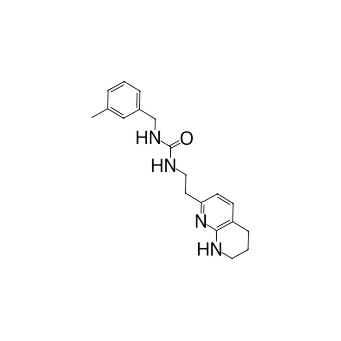 Cc1cccc(CNC(=O)NCCc2ccc3c(n2)NCCC3)c1